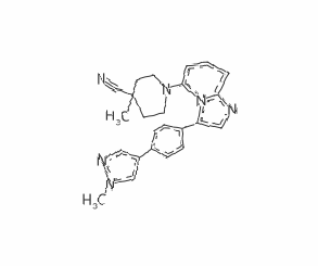 Cn1cc(-c2ccc(-c3cnc4cccc(N5CCC(C)(C#N)CC5)n34)cc2)cn1